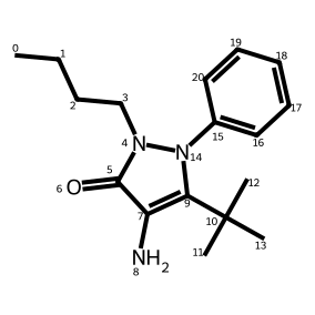 CCCCn1c(=O)c(N)c(C(C)(C)C)n1-c1ccccc1